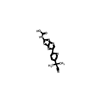 CC(C)(C#N)c1ccc(-c2cnc3nc(NC(=O)O)sc3n2)nc1